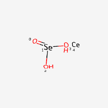 O=[Se](O)O.[Ce]